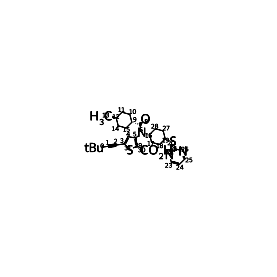 CC(C)(C)C#Cc1cc(N(C(=O)[C@H]2CC[C@H](C)CC2)[C@H]2CC[C@@H](Sc3ncccn3)CC2)c(C(=O)O)s1